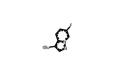 CC(C)(C)c1cnn2cc(F)ccc12